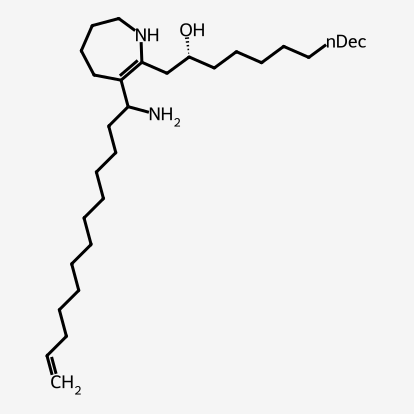 C=CCCCCCCCCCCC(N)C1=C(C[C@H](O)CCCCCCCCCCCCCCC)NCCCC1